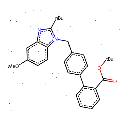 CCCCc1nc2cc(OC)ccc2n1Cc1ccc(-c2ccccc2C(=O)OC(C)(C)C)cc1